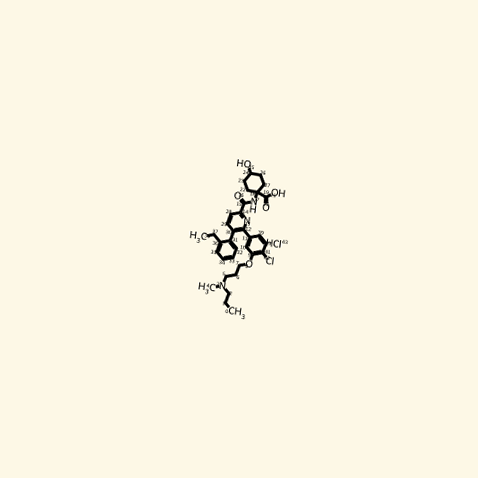 CCCN(C)CCCOc1cc(-c2nc(C(=O)NC3(C(=O)O)CCC(O)CC3)ccc2-c2ccccc2CC)ccc1Cl.Cl